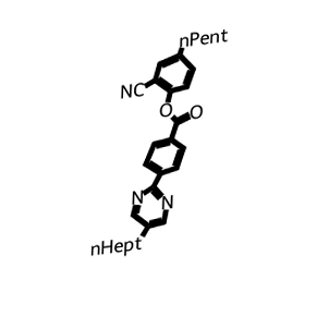 CCCCCCCc1cnc(-c2ccc(C(=O)Oc3ccc(CCCCC)cc3C#N)cc2)nc1